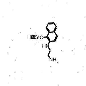 COc1c(NCCN)ccc2ccccc12.Cl.Cl